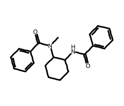 CN(C(=O)c1ccccc1)C1CCCCC1NC(=O)c1ccccc1